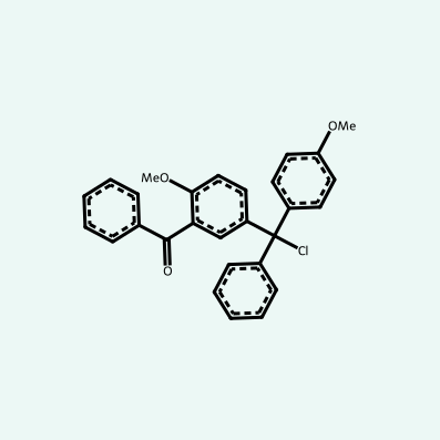 COc1ccc(C(Cl)(c2ccccc2)c2ccc(OC)c(C(=O)c3ccccc3)c2)cc1